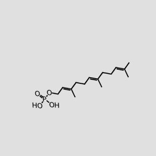 CC(C)=CCC/C(C)=C/CC/C(C)=C/COP(=O)(O)O